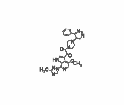 COc1cnc(-n2cnc(C)n2)c2[nH]cc(C(=O)C(=O)N3CCN(c4cncnc4-c4ccccc4)CC3)c12